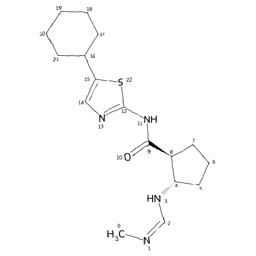 C/N=C\N[C@H]1CCC[C@@H]1C(=O)Nc1ncc(C2CCCCC2)s1